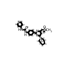 CS(=O)(=O)Cc1cc(N2CC3CCC(C2)O3)nc(-c2ccc(NC(=O)Nc3ccncc3)cc2)n1